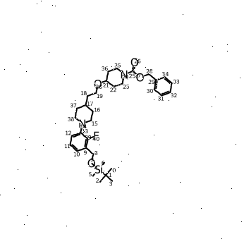 CC(C)(C)[Si](C)(C)OCc1cccc(N2CCC(CCOC3CCN(C(=O)OCc4ccccc4)CC3)CC2)c1F